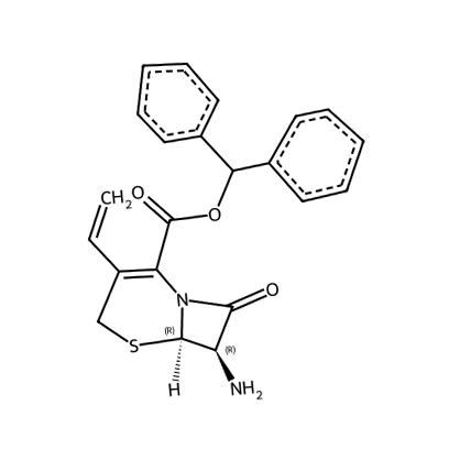 C=CC1=C(C(=O)OC(c2ccccc2)c2ccccc2)N2C(=O)[C@@H](N)[C@H]2SC1